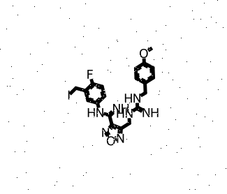 COc1ccc(CNC(=N)NCc2nonc2C(=N)Nc2ccc(F)c(CI)c2)cc1